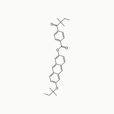 CCC(C)(C)Oc1ccc2cc3cc(OC(=O)c4ccc(C(=O)C(C)(C)CC)cc4)ccc3cc2c1